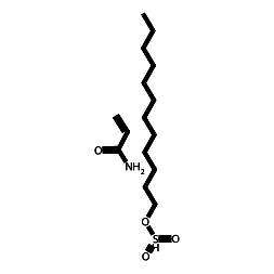 C=CC(N)=O.CCCCCCCCCCCCO[SH](=O)=O